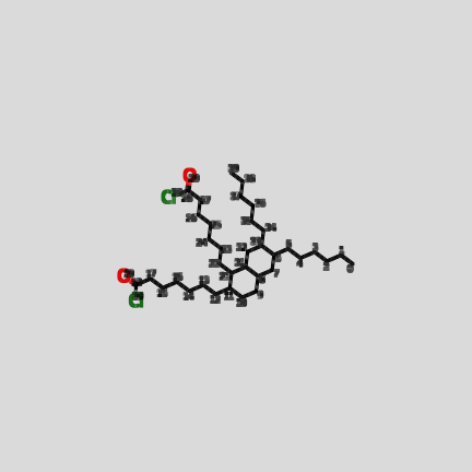 CCCCCCC1CC2CCC(CCCCCCC(=O)Cl)C(CCCCCCC(=O)Cl)C2CC1CCCCCC